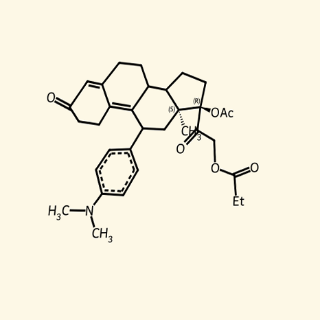 CCC(=O)OCC(=O)[C@@]1(OC(C)=O)CCC2C3CCC4=CC(=O)CCC4=C3C(c3ccc(N(C)C)cc3)C[C@@]21C